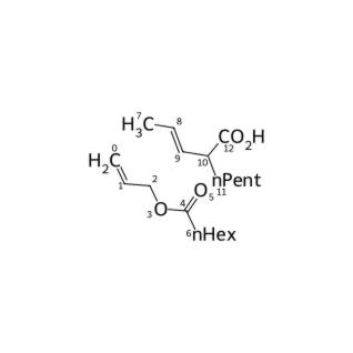 C=CCOC(=O)CCCCCC.CC=CC(CCCCC)C(=O)O